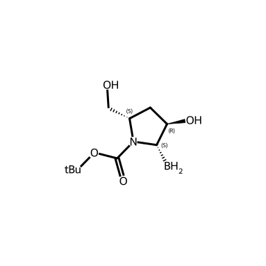 B[C@H]1[C@H](O)C[C@@H](CO)N1C(=O)OC(C)(C)C